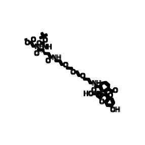 COC(=O)CNC(=O)[C@H](CCC(=O)NCCCOCCOCCOCCCNC(=O)C1=CC2=C(C=CC1)C(=O)OC21C2=CC=C(O)CC2Oc2cc(O)ccc21)NC(=O)OC(C)(C)C